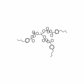 CCCCc1ccc(C(=O)OOC(=O)OCC(C)(COC(=O)OOC(=O)c2ccc(CCCC)cc2)COC(=O)OOC(=O)c2ccc(CCCC)cc2)cc1